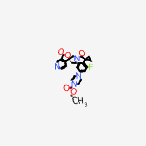 CCOC(=O)N1CCN(c2ccc(C3(C(=O)N4CC[C@@]5(C4)OC(=O)c4cnccc45)CC3)c(F)c2)CC1